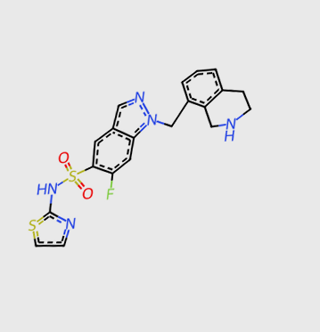 O=S(=O)(Nc1nccs1)c1cc2cnn(Cc3cccc4c3CNCC4)c2cc1F